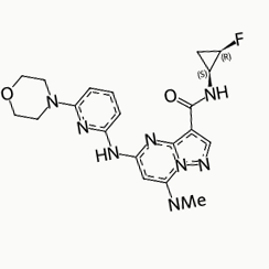 CNc1cc(Nc2cccc(N3CCOCC3)n2)nc2c(C(=O)N[C@H]3C[C@H]3F)cnn12